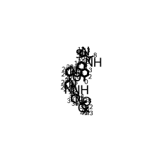 Cc1ccc2c(NC(C)c3cscn3)cccc2c1Oc1ncccc1-c1ccnc(N[C@H]2CCCN(C(=O)OC(C)(C)C)C2)n1